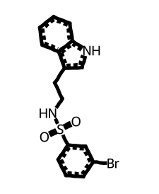 O=S(=O)(NCCc1c[nH]c2ccccc12)c1cccc(Br)c1